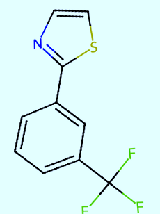 FC(F)(F)c1cccc(-c2nccs2)c1